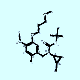 COCCCOc1cc(CN(C(=O)OC(C)(C)C)C2CC2C)c(C)cc1OC